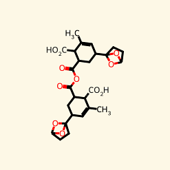 CC1=CC(C23CCC(O2)O3)CC(C(=O)OC(=O)C2CC(C34CCC(O3)O4)C=C(C)C2C(=O)O)C1C(=O)O